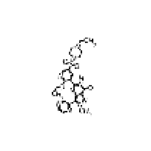 CCOc1ncc(S(=O)(=O)N2CCN(CC)CC2)cc1-c1nc2c(-c3cnccn3)n(C)nc2c(=O)[nH]1